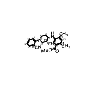 COC(=O)c1cc(N[C@H]2CCN(c3ccccc3C#N)C[C@H]2C)c(C)cc1C